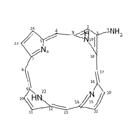 Nc1cc2cc3nc(cc4ccc(cc5nc(cc1[nH]2)C=C5)[nH]4)C=C3